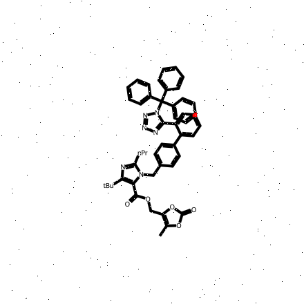 CCCc1nc(C(C)(C)C)c(C(=O)OCc2oc(=O)oc2C)n1Cc1ccc(-c2ccccc2-c2nnnn2C(c2ccccc2)(c2ccccc2)c2ccccc2)cc1